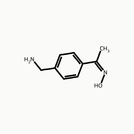 C/C(=N/O)c1ccc(CN)cc1